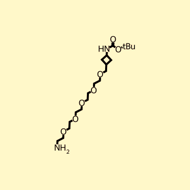 CC(C)(C)OC(=O)NC1CC(COCCOCCOCCOCCOCCN)C1